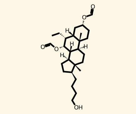 CC[C@H]1[C@@H](OC=O)[C@@H]2[C@H](CC[C@]3(C)[C@@H](CCCCO)CC[C@@H]23)[C@@]2(C)CC[C@@H](OC=O)C[C@@H]12